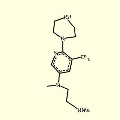 CNCCN(C)c1cnc(N2CCNCC2)c(C(F)(F)F)c1